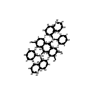 Cc1ccc2c(N(c3ccccc3)c3cccc4ncccc34)c3cc(C)c(C)cc3c(N(c3ccccc3)c3cccc4ncccc34)c2c1